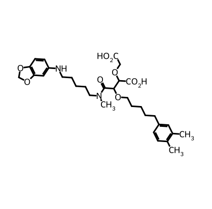 Cc1ccc(CCCCCOC(C(=O)N(C)CCCCCNc2ccc3c(c2)OCO3)C(OCC(=O)O)C(=O)O)cc1C